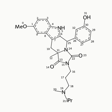 COc1ccc2[nH]c3c(c2c1)CC1(C)C(=O)N(CCCN(C)C(C)C)C(=O)N1C3c1cccc(O)c1